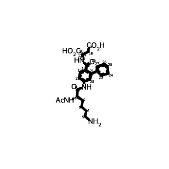 CC(=O)N[C@@H](CCCCN)C(=O)Nc1ccc(C(=O)N[C@@H](CC(=O)O)C(=O)O)c(-c2ccccc2)c1